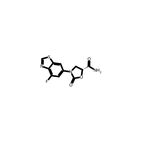 NC(=O)[C@H]1CN(c2cc(F)c3ncsc3c2)C(=O)O1